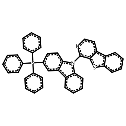 c1ccc(S(c2ccccc2)(c2ccccc2)c2ccc3c(c2)c2ccccc2n3-c2nccc3c2sc2ccccc23)cc1